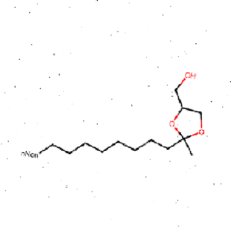 CCCCCCCCCCCCCCCCCC1(C)OCC(CO)O1